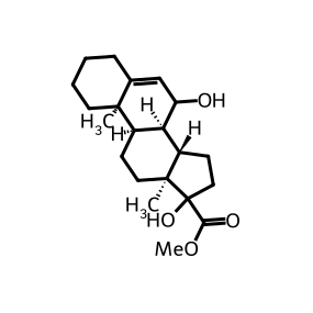 COC(=O)C1(O)CC[C@H]2[C@@H]3C(O)C=C4CCCC[C@]4(C)[C@@H]3CC[C@@]21C